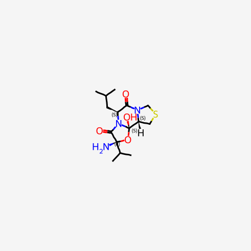 CC(C)C[C@H]1C(=O)N2CSC[C@@H]2[C@]2(O)O[C@](N)(C(C)C)C(=O)N12